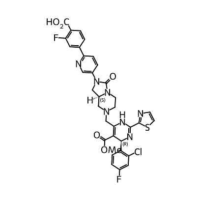 COC(=O)C1=C(CN2CCN3C(=O)N(c4ccc(-c5ccc(C(=O)O)c(F)c5)nc4)C[C@@H]3C2)NC(c2nccs2)=N[C@H]1c1ccc(F)cc1Cl